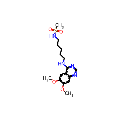 COc1cc2ncnc(NCCCCCNS(C)(=O)=O)c2cc1OC